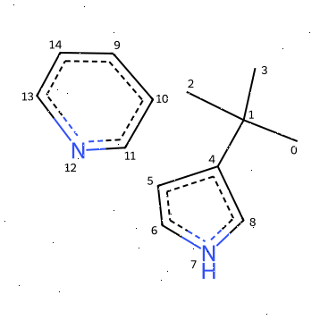 CC(C)(C)c1cc[nH]c1.c1ccncc1